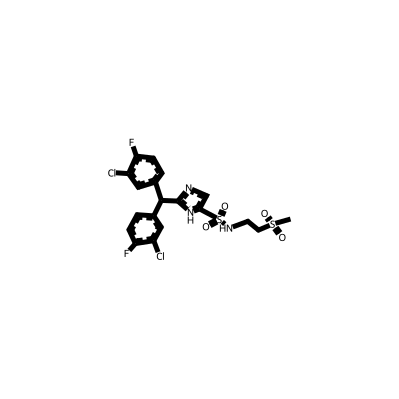 CS(=O)(=O)CCNS(=O)(=O)c1cnc(C(c2ccc(F)c(Cl)c2)c2ccc(F)c(Cl)c2)[nH]1